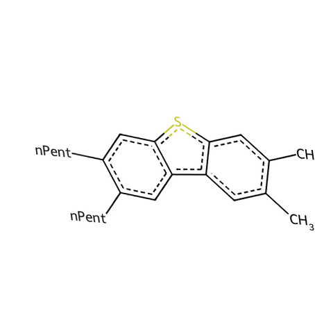 CCCCCc1cc2sc3cc(C)c(C)cc3c2cc1CCCCC